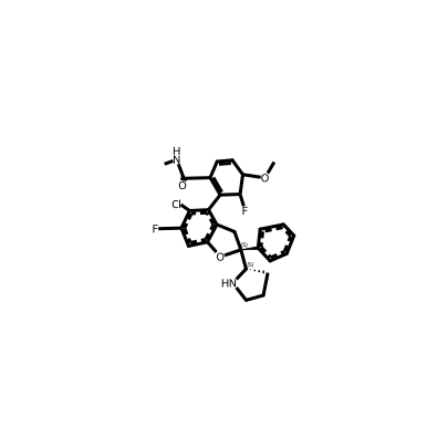 CNC(=O)C1=C(c2c(Cl)c(F)cc3c2C[C@](c2ccccc2)([C@@H]2CCCN2)O3)C(F)C(OC)C=C1